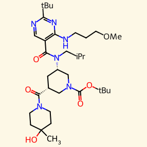 COCCCNc1nc(C(C)(C)C)ncc1C(=O)N(CC(C)C)[C@H]1C[C@@H](C(=O)N2CCC(C)(O)CC2)CN(C(=O)OC(C)(C)C)C1